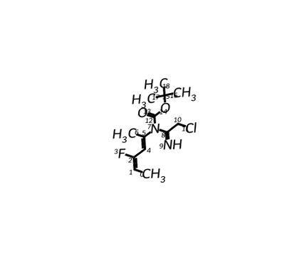 C/C=C(/F)C=C(C)N(C(=N)CCl)C(=O)OC(C)(C)C